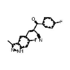 Cc1n[nH]c2cc(F)c(/C=C(\C#N)C(=O)c3ccc(F)cc3)cc12